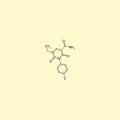 CCn1cc(C(N)=O)c(=O)n(-c2ccc(F)cc2)c1=O